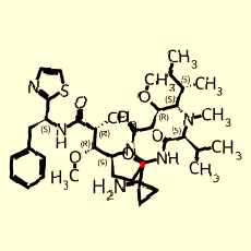 CC[C@H](C)[C@@H]([C@@H](CC(=O)N1CCC[C@H]1[C@H](OC)[C@@H](C)C(=O)N[C@@H](Cc1ccccc1)c1nccs1)OC)N(C)[C@H](C(=O)NC(=O)C1(N)CC1)C(C)C